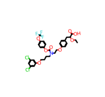 CCOC(Cc1ccc(OCCN(CCCCOc2cc(Cl)cc(Cl)c2)C(=O)Oc2ccc(OC(F)(F)F)cc2)cc1)C(=O)O